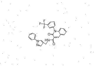 O=C(NCc1cnn(-c2ccccc2)c1)c1cc2ccccc2n(-c2cccc(C(F)(F)F)c2)c1=O